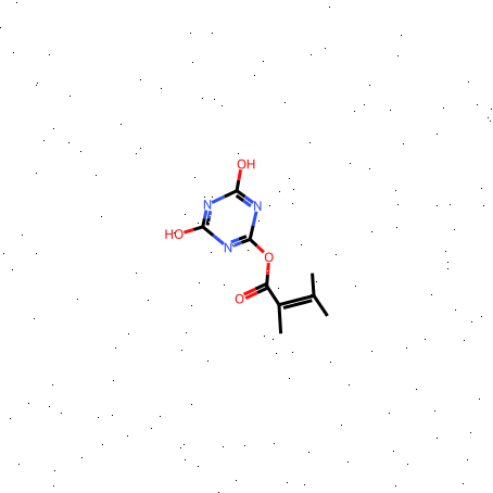 CC(C)=C(C)C(=O)Oc1nc(O)nc(O)n1